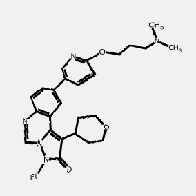 CCn1c(=O)c(C2CCOCC2)c2c3cc(-c4ccc(OCCCN(C)C)nc4)ccc3ncn21